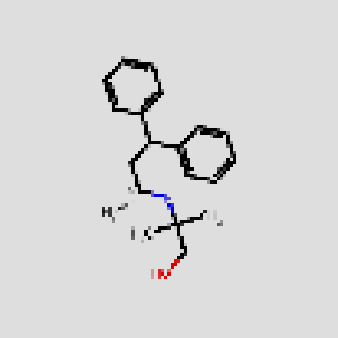 C[C@H](CC(c1ccccc1)c1ccccc1)NC(C)(C)CO